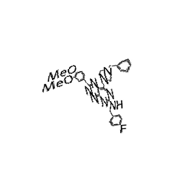 COc1ccc(-c2nnc3nc(NCc4ccc(F)cc4)nc(N4CCN(Cc5ccccc5)CC4)c3n2)cc1OC